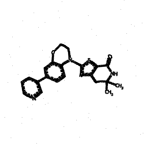 CC1(C)Cc2nc(N3CCOc4cc(-c5cccnc5)ccc43)sc2C(=O)N1